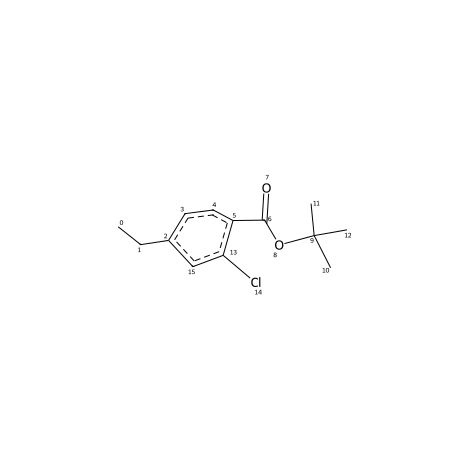 CCc1ccc(C(=O)OC(C)(C)C)c(Cl)c1